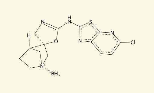 B[N@+]12CC[C@H](C1)[C@]1(CN=C(Nc3nc4ccc(Cl)nc4s3)O1)C2